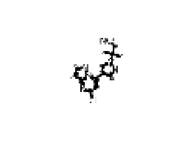 CC(C)(CC#N)n1cc(-c2cc(Cl)nc3ccnn23)cn1